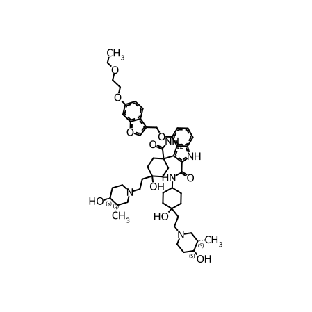 CCOCCOc1ccc2c(COc3cccc4[nH]c(C(=O)NC5CCC(O)(CCN6CC[C@H](O)[C@@H](C)C6)CC5)c(C5(C(N)=O)CCC(O)(CCN6CC[C@H](O)[C@@H](C)C6)CC5)c34)coc2c1